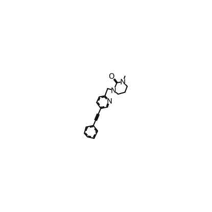 CN1CCCN(Cc2ccc(C#Cc3ccccc3)cn2)C1=O